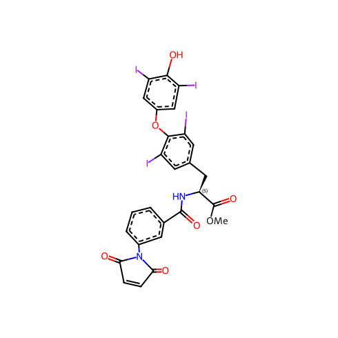 COC(=O)[C@H](Cc1cc(I)c(Oc2cc(I)c(O)c(I)c2)c(I)c1)NC(=O)c1cccc(N2C(=O)C=CC2=O)c1